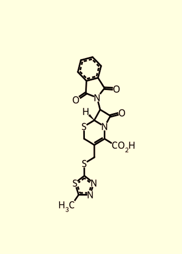 Cc1nnc(SCC2=C(C(=O)O)N3C(=O)C(N4C(=O)c5ccccc5C4=O)[C@H]3SC2)s1